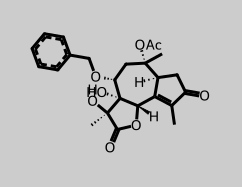 CC(=O)O[C@@]1(C)C[C@@H](OCc2ccccc2)[C@@]2(O)[C@@H](OC(=O)[C@@]2(C)O)C2=C(C)C(=O)C[C@@H]21